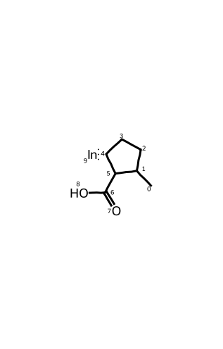 CC1CCCC1C(=O)O.[In]